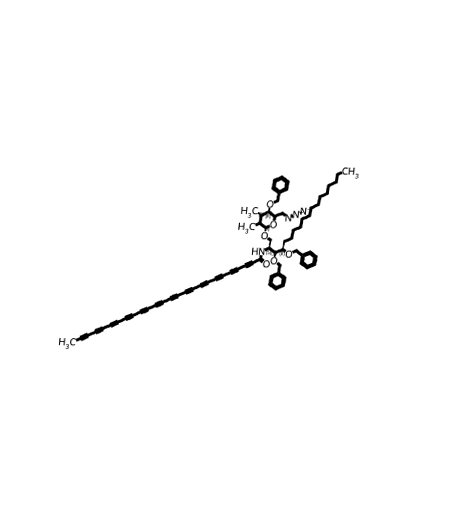 CC#CC#CC#CC#CC#CC#CC#CC#CC#CC#CC#CC#CC(=O)N[C@@H](CO[C@H]1OC(CN=[N+]=[N-])[C@H](OCc2ccccc2)[C@H](C)C1C)[C@H](OCc1ccccc1)[C@@H](CCCCCCCCCCCCCC)OCc1ccccc1